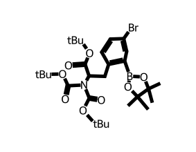 CC(C)(C)OC(=O)C(Cc1ccc(Br)cc1B1OC(C)(C)C(C)(C)O1)N(C(=O)OC(C)(C)C)C(=O)OC(C)(C)C